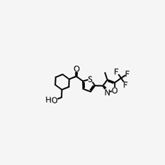 Cc1c(-c2ccc(C(=O)C3CCCC(CO)C3)s2)noc1C(F)(F)F